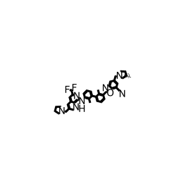 Cc1c(Nc2nc(C(F)F)cc3cc(CN4CCCC4)cnc23)cccc1-c1cccc(-c2nc3cc(CN4CC[C@H](C)C4)cc(C#N)c3o2)c1C